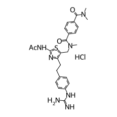 CC(=O)Nc1nc(CCc2ccc(NC(=N)N)cc2)c(CN(C)C(=O)c2ccc(C(=O)N(C)C)cc2)s1.Cl